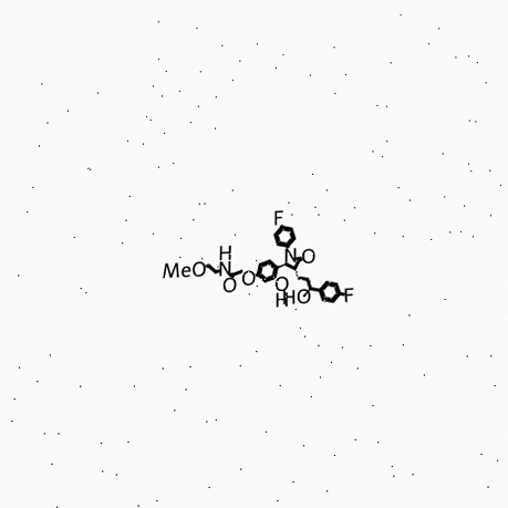 COCCNC(=O)COc1ccc([C@@H]2[C@@H](CC[C@H](O)c3ccc(F)cc3)C(=O)N2c2ccc(F)cc2)c(O)c1